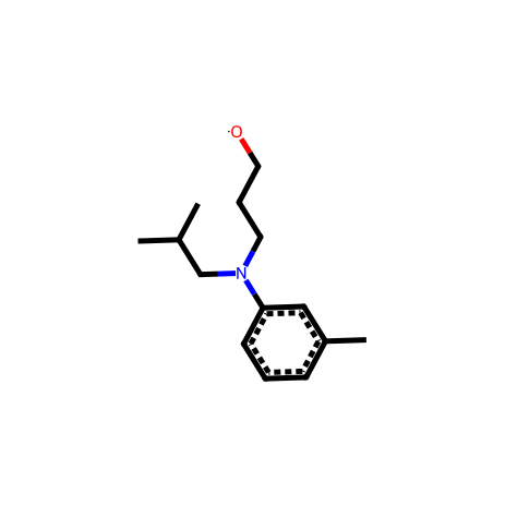 Cc1cccc(N(CCC[O])CC(C)C)c1